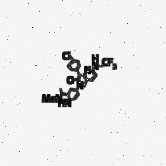 CN/C(C)=C1/C=C(n2cc3ccc(NCC(F)(F)F)nc3c(-c3ccc(Cl)cc3)c2=O)C=CC1=N